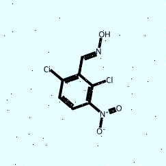 O=[N+]([O-])c1ccc(Cl)c(/C=N/O)c1Cl